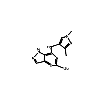 Cc1nn(C)cc1Nc1nc(C(C)(C)C)nc2cn[nH]c12